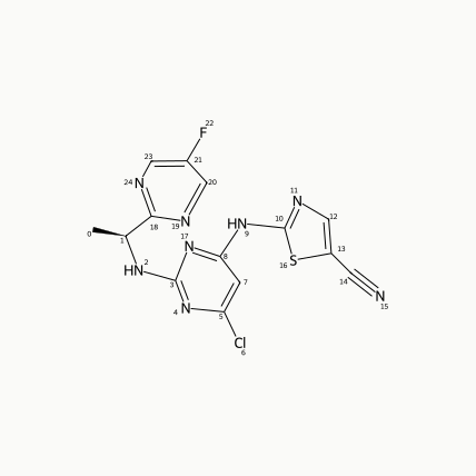 C[C@H](Nc1nc(Cl)cc(Nc2ncc(C#N)s2)n1)c1ncc(F)cn1